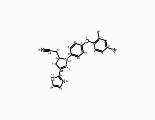 Cc1cc(Br)ccc1Oc1ccc(N2N=C(c3ncco3)CC2CC#N)cc1